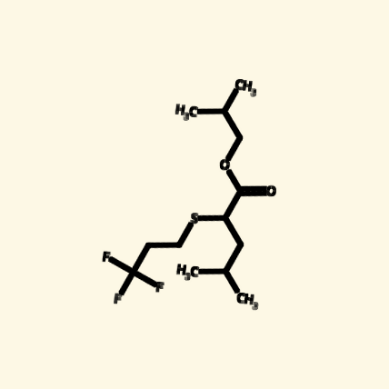 CC(C)COC(=O)C(CC(C)C)SCCC(F)(F)F